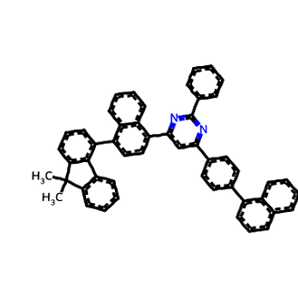 CC1(C)c2ccccc2-c2c(-c3ccc(-c4cc(-c5ccc(-c6cccc7ccccc67)cc5)nc(-c5ccccc5)n4)c4ccccc34)cccc21